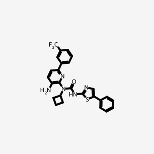 Nc1ccc(-c2cccc(C(F)(F)F)c2)nc1N(C(=O)Nc1ncc(-c2ccccc2)s1)C1CCC1